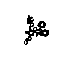 C=C1C(OC=O)CC(O[Si](c2ccccc2)(c2ccccc2)C(C)(C)C)C1CO[Si](C)(C)C(C)(C)C